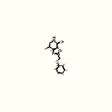 CC1CNC(=O)c2oc(COc3ccccc3)nc21